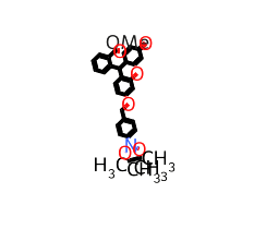 COC(=O)c1ccccc1C1c2ccc(OCc3ccc(N4OC(C)(C)C(C)(C)O4)cc3)cc2OC2=CC(=O)C=CC21